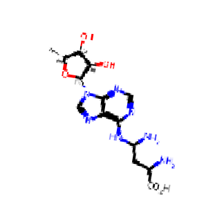 C[C@H]1O[C@@H](n2cnc3c(NC(N)CC(N)C(=O)O)ncnc32)[C@H](O)[C@@H]1O